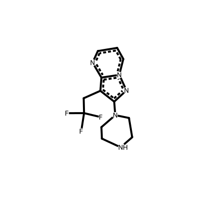 FC(F)(F)Cc1c(N2CCNCC2)nn2cccnc12